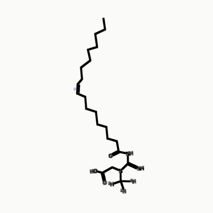 [2H]C([2H])([2H])N(CC(=O)O)C(=N)NC(=O)CCCCCCC/C=C\CCCCCCCC